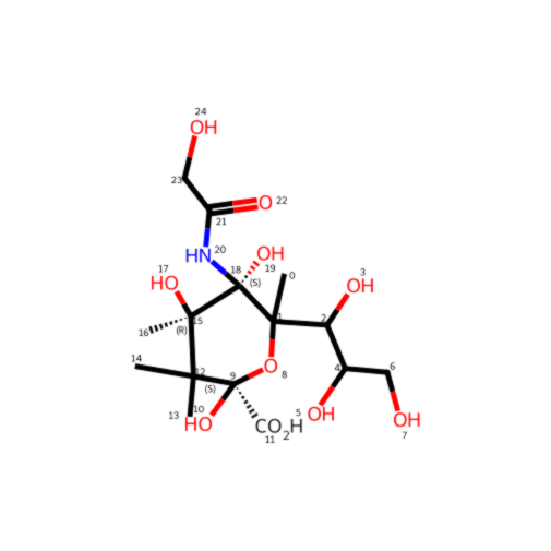 CC1(C(O)C(O)CO)O[C@](O)(C(=O)O)C(C)(C)[C@@](C)(O)[C@@]1(O)NC(=O)CO